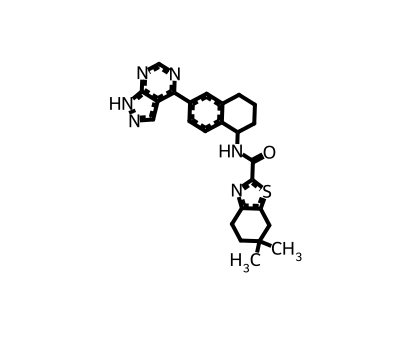 CC1(C)CCc2nc(C(=O)NC3CCCc4cc(-c5ncnc6[nH]ncc56)ccc43)sc2C1